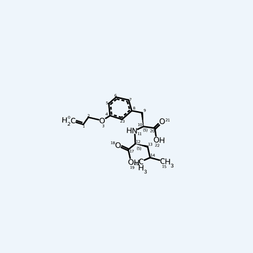 C=CCOc1cccc(C[C@H](N[C@@H](CC(C)C)C(=O)O)C(=O)O)c1